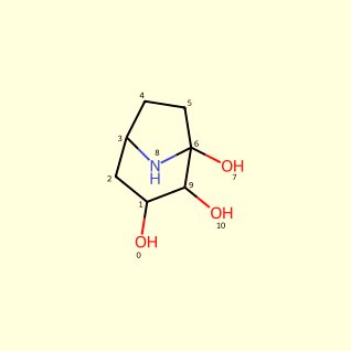 OC1CC2CCC(O)(N2)C1O